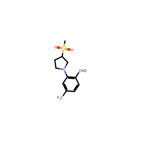 CS(=O)(=O)C1CCN(c2cc(C(F)(F)F)ccc2C=O)C1